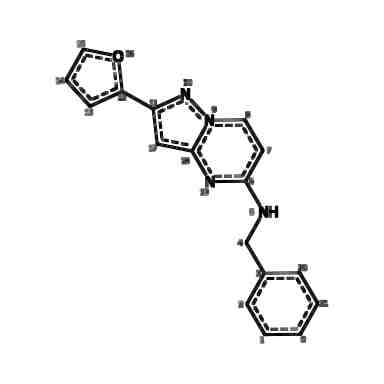 c1ccc(CNc2ccn3nc(-c4ccco4)cc3n2)cc1